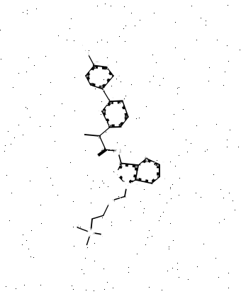 CC(C(=O)Nc1nn(COCC[Si](C)(C)C)c2ccccc12)c1cccc(-c2ccc(N)cc2)c1